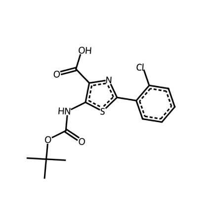 CC(C)(C)OC(=O)Nc1sc(-c2ccccc2Cl)nc1C(=O)O